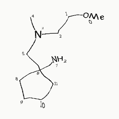 COCCN(C)CC1(N)CCCC1